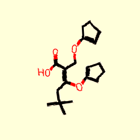 CC(C)(C)CC(OC1=CCCC1)=C(COC1=CCCC1)C(=O)O